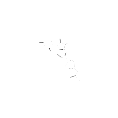 Cn1c(=O)n(C2CCC(=O)NC2=O)c2ccc(N3CCC(CC(=O)O)CC3)cc21